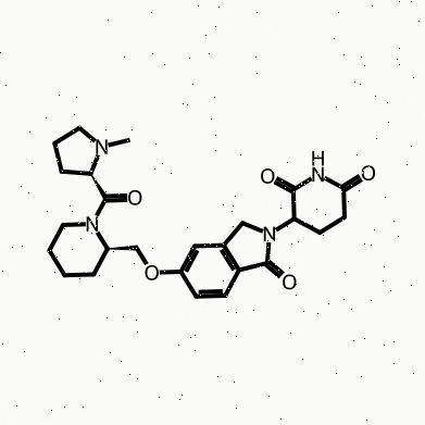 CN1CCC[C@@H]1C(=O)N1CCCC[C@@H]1COc1ccc2c(c1)CN(C1CCC(=O)NC1=O)C2=O